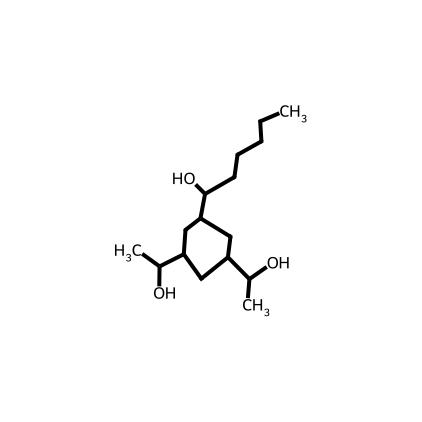 CCCCCC(O)C1CC(C(C)O)CC(C(C)O)C1